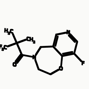 CC(C)(C(=O)N1CCOc2c(F)cncc2C1)C(F)(F)F